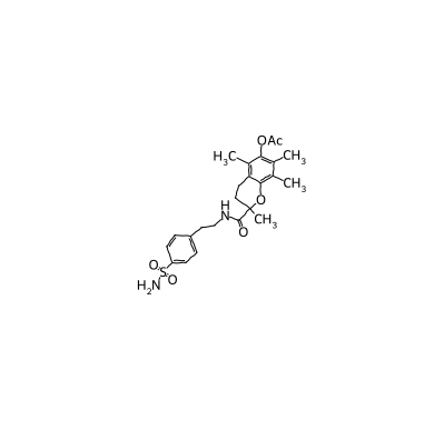 CC(=O)Oc1c(C)c(C)c2c(c1C)CCC(C)(C(=O)NCCc1ccc(S(N)(=O)=O)cc1)O2